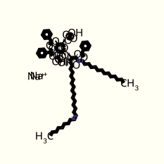 CCCCCCCC/C=C\CCCCCCCCCCCCCC(=O)N[C@@H](CO[C@@H]1O[C@H](COS(=O)(=O)O)[C@H](OC(=O)c2ccccc2)[C@H](OC(=O)c2ccccc2)[C@H]1OS(=O)(=O)O)[C@@H](/C=C/CCCCCCCCCCCCC)OC(=O)c1ccccc1.[Na+].[Na+]